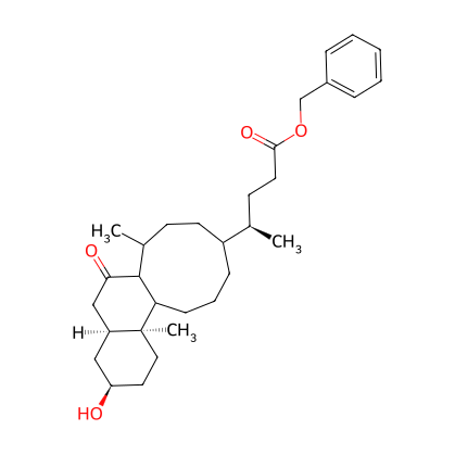 CC1CCC([C@H](C)CCC(=O)OCc2ccccc2)CCCC2C1C(=O)C[C@@H]1C[C@H](O)CC[C@]21C